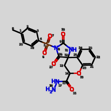 Cc1ccc(S(=O)(=O)N2C(=O)NC3(CC(C(=O)NN)Oc4ccccc43)C2=O)cc1